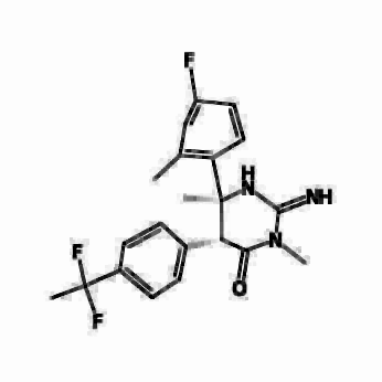 Cc1cc(F)ccc1[C@@]1(C)NC(=N)N(C)C(=O)[C@@H]1c1ccc(C(C)(F)F)cc1